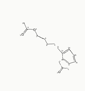 CC(C)=O.CCCCOC(C)=O.Cc1ccccc1